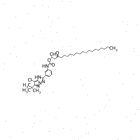 CCCCCCCCCCCCCCCCCC(=O)CC(C)OC(=O)Nc1cccc(-c2nn3nc(C(C)(C)C)c(Cl)c3[nH]2)c1